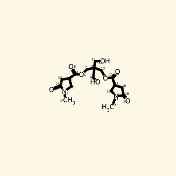 CN1CC(C(=O)OCC(CO)(CO)COC(=O)C2CC(=O)N(C)C2)CC1=O